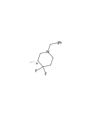 CC(C)CN1CCC(F)(F)[C@H](C)C1